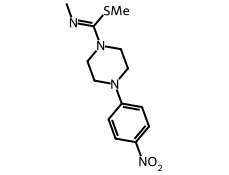 CN=C(SC)N1CCN(c2ccc([N+](=O)[O-])cc2)CC1